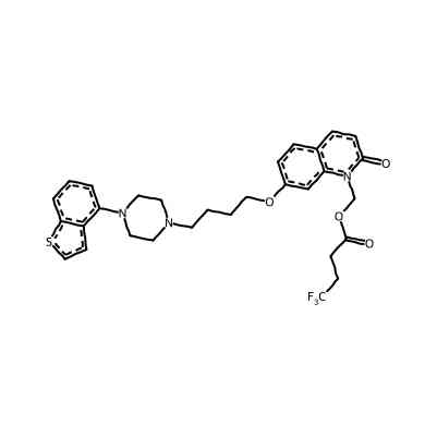 O=C(CCC(F)(F)F)OCn1c(=O)ccc2ccc(OCCCCN3CCN(c4cccc5sccc45)CC3)cc21